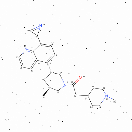 C[C@H]1C[C@H](c2ccc(C3C=N3)c3ncccc23)CN(C(=O)CC2CCN(C)CC2)C1